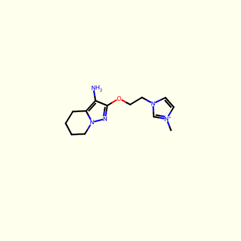 C[n+]1ccn(CCOc2nn3c(c2N)CCCC3)c1